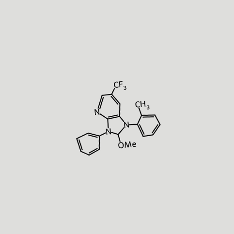 COC1N(c2ccccc2C)c2cc(C(F)(F)F)cnc2N1c1ccccc1